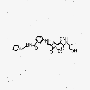 CCn1c(=C(C#N)C(=O)N[C@@H](C)CO)sc(=CNc2cccc(C(=O)NCCCN3CCCC3)c2)c1=O